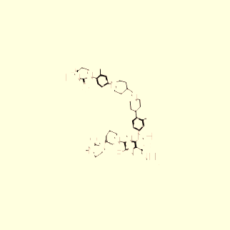 Cc1cc(N2CCC(CN3CCC(c4ccc(Nc5nc(N6CCC[C@@H](N7CCN(C)C7=O)C6)c(F)nc5C(N)=O)cc4F)CC3)CC2)ccc1N1CCC(=O)NC1=O